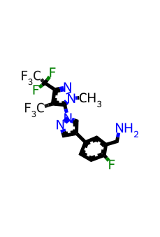 Cn1nc(C(F)(F)C(F)(F)F)c(C(F)(F)F)c1-n1cc(-c2ccc(F)c(CN)c2)cn1